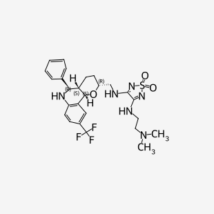 CN(C)CCNC1=NS(=O)(=O)N=C1NC[C@H]1CC[C@@H]2[C@H](O1)c1cc(C(F)(F)F)ccc1N[C@H]2c1ccccc1